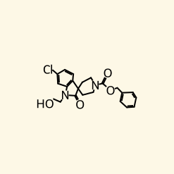 O=C(OCc1ccccc1)N1CCC2(CC1)C(=O)N(CCO)c1cc(Cl)ccc12